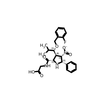 CC(C)[C@H](OCc1ccccc1F)[C@H]1[C@H]([N+](=O)[O-])[C@H](c2ccccc2)N[C@@H]1C(=O)NCC(=O)O